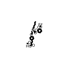 CCCCCCN(CCOc1ccc(CC(OCC)C(=O)O)cc1)C(=O)Oc1ccccc1OC(F)(F)F